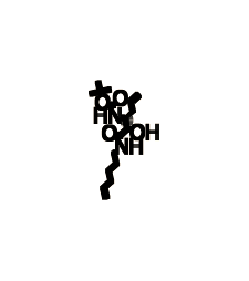 C=CCCCCNC(=O)C(O)[C@H](CC=C)NC(=O)OC(C)(C)C